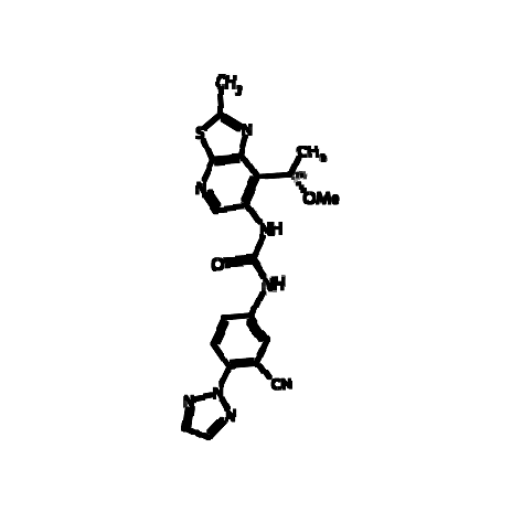 CO[C@@H](C)c1c(NC(=O)Nc2ccc(-n3nccn3)c(C#N)c2)cnc2sc(C)nc12